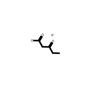 CCC(=O)CC(=O)[O-].[K+]